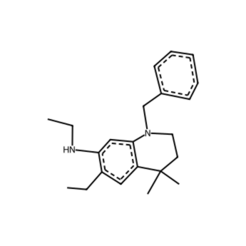 CCNc1cc2c(cc1CC)C(C)(C)CCN2Cc1ccccc1